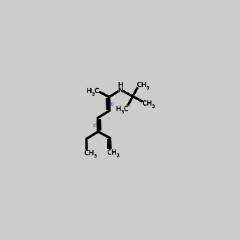 C=C/C(=C\C=C(/C)NC(C)(C)C)CC